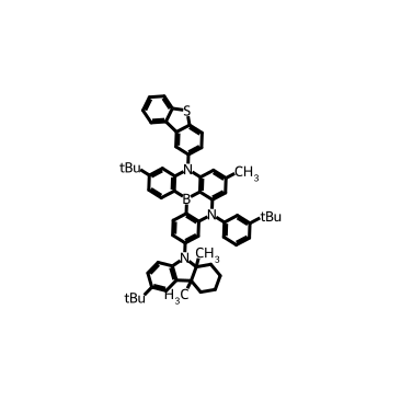 Cc1cc2c3c(c1)N(c1ccc4sc5ccccc5c4c1)c1cc(C(C)(C)C)ccc1B3c1ccc(N3c4ccc(C(C)(C)C)cc4C4(C)CCCCC34C)cc1N2c1cccc(C(C)(C)C)c1